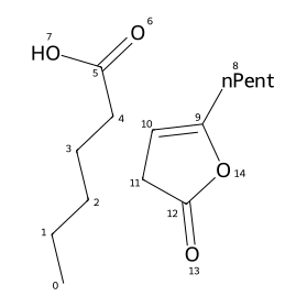 CCCCCC(=O)O.CCCCCC1=CCC(=O)O1